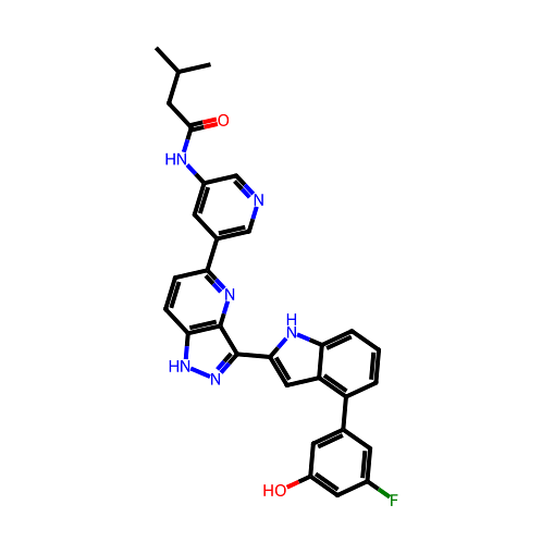 CC(C)CC(=O)Nc1cncc(-c2ccc3[nH]nc(-c4cc5c(-c6cc(O)cc(F)c6)cccc5[nH]4)c3n2)c1